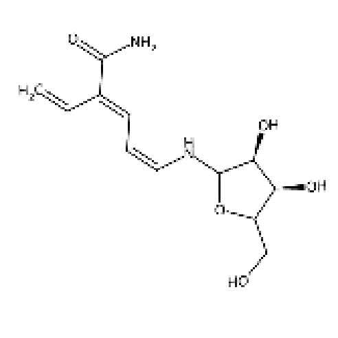 C=C/C(=C\C=C/NC1OC(CO)[C@H](O)[C@@H]1O)C(N)=O